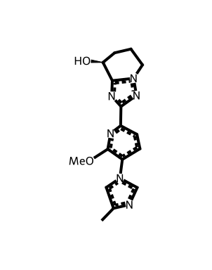 COc1nc(-c2nc3n(n2)CCC[C@@H]3O)ccc1-n1cnc(C)c1